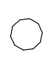 [CH]1CC[CH]CCCCCC1